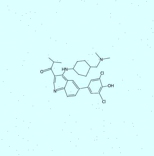 CC(C)C(=O)c1cnc2ccc(-c3cc(Cl)c(O)c(Cl)c3)cc2c1NC1CCC(CN(C)C)CC1